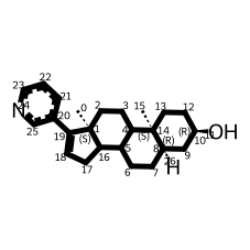 C[C@]12CCC3C(CC[C@@H]4C[C@H](O)CC[C@]34C)C1CC=C2c1cccnc1